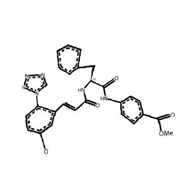 COC(=O)c1ccc(NC(=O)[C@H](Cc2ccccc2)NC(=O)/C=C/c2cc(Cl)ccc2-n2cnnn2)cc1